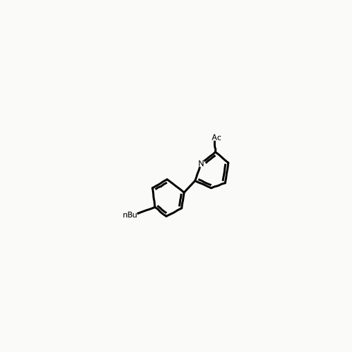 CCCCc1ccc(-c2cccc(C(C)=O)n2)cc1